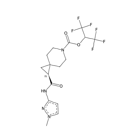 Cn1ccc(NC(=O)[C@H]2CC23CCN(C(=O)OC(C(F)(F)F)C(F)(F)F)CC3)n1